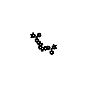 Cc1cc(N(c2ccccc2)c2ccc3cc4c(cc3c2)C(C)(C)c2ccc3c(c2-4)C(C)(C)c2cc4cc(N(c5ccccc5)c5cc(C)c(C)c(C)c5)ccc4cc2-3)cc(C)c1C